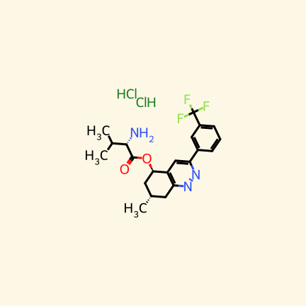 CC(C)[C@H](N)C(=O)O[C@@H]1C[C@@H](C)Cc2nnc(-c3cccc(C(F)(F)F)c3)cc21.Cl.Cl